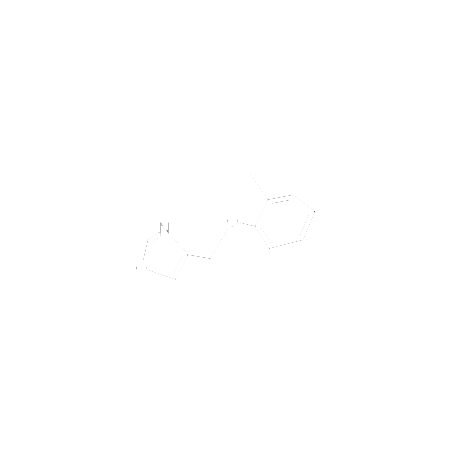 Cc1ccccc1OCc1cocn1